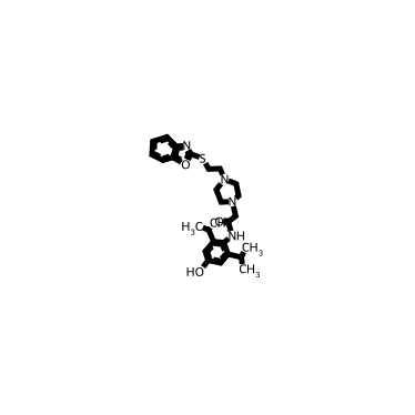 CC(C)c1cc(O)cc(C(C)C)c1NC(=O)CN1CCN(CCSc2nc3ccccc3o2)CC1